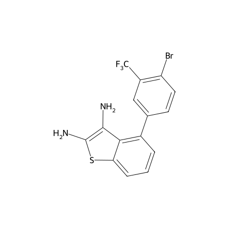 Nc1sc2cccc(-c3ccc(Br)c(C(F)(F)F)c3)c2c1N